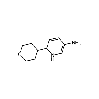 NC1=CNC(C2CCOCC2)C=C1